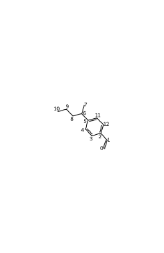 C=Cc1ccc(C(C)CCC)cc1